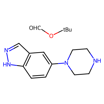 CC(C)(C)OC=O.c1cc2[nH]ncc2cc1N1CCNCC1